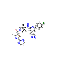 Cc1nc(-c2ncccn2)sc1C(=O)N1C[C@@H]2C(Nc3cc(C(C)(C)N)cc(-c4ccc(F)cc4)n3)[C@@H]2C1